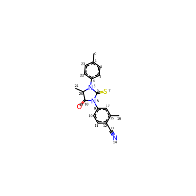 Cc1ccc(N2C(=S)N(c3ccc(C#N)c(C)c3)C(=O)C2C)cc1